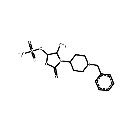 CC1C(OS(C)(=O)=O)OC(=O)N1C1CCN(Cc2ccccc2)CC1